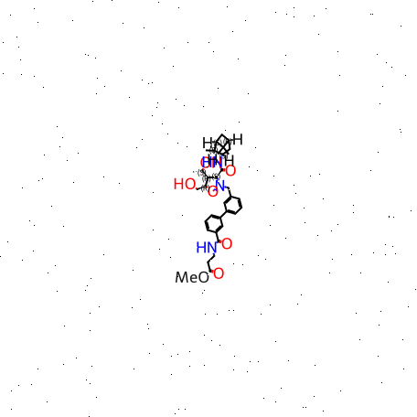 COC(=O)CCNC(=O)c1cccc(-c2cccc(CN3O[C@@H](CO)[C@@H]([C@H](C)O)[C@H]3C(=O)N[C@H]3C[C@H]4C[C@@H]([C@@H]3C)C4(C)C)c2)c1